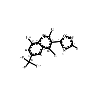 Cc1noc(-c2c(Cl)nc3c(F)cc(C(F)(F)F)cc3c2C)n1